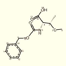 CO[C@@H](C)[C@H](NC(=O)OCc1ccccc1)C(=O)O